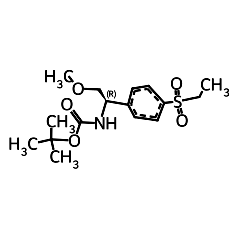 CCS(=O)(=O)c1ccc([C@H](COC)NC(=O)OC(C)(C)C)cc1